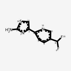 Nc1nc(-c2ccc(C(F)F)cn2)cs1